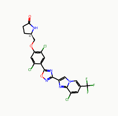 O=C1CC[C@H](COc2cc(Cl)c(-c3nc(-c4cn5cc(C(F)(F)F)cc(Cl)c5n4)no3)cc2Cl)N1